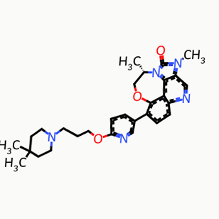 C[C@H]1COc2c(-c3ccc(OCCCN4CCC(C)(C)CC4)nc3)ccc3ncc4c(c23)n1c(=O)n4C